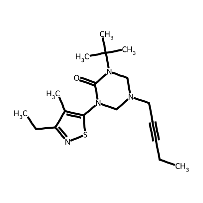 CCC#CCN1CN(c2snc(CC)c2C)C(=O)N(C(C)(C)C)C1